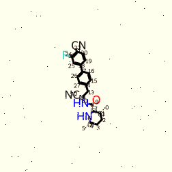 C[C@@H]1CC[C@H](C)N[C@@H]1C(=O)N[C@H](C#N)Cc1ccc(-c2ccc(C#N)c(F)c2)cc1